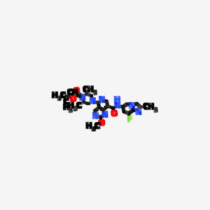 COc1ncc2c(N3C[C@@H](C)N(C(=O)OC(C)(C)C)[C@@H](C)C3)ncc(C(=O)Nc3cc(F)c4nc(C)cn4c3)c2n1